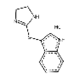 Cl.c1ccc2c(SC3=NCCN3)c[nH]c2c1